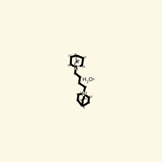 O.[CH](CCC[N+]12CCC(CC1)CC2)[N+]12CCC(CC1)CC2